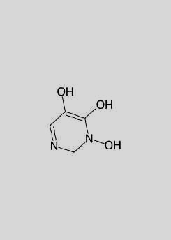 OC1=C(O)N(O)CN=C1